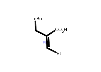 CC/C=C(/CCCCC)C(=O)O